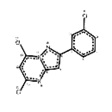 Clc1cccc(-c2cc3nc(Cl)cc(Cl)n3n2)c1